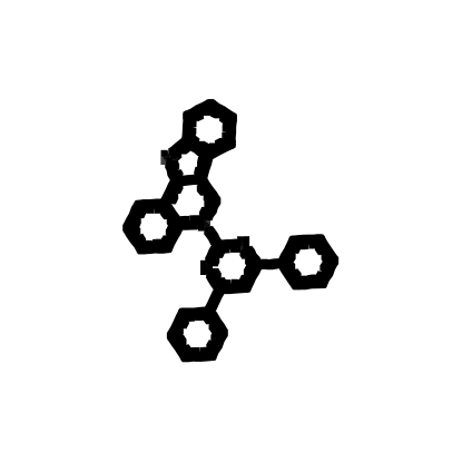 c1ccc(-c2cc(-c3ccccc3)nc(-n3cc4c5ccccc5nc-4c4ccccc43)n2)cc1